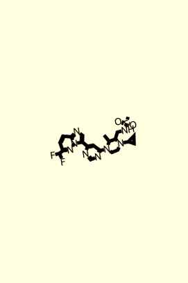 CC1C(CNS(C)(=O)=O)N(C2CC2)CCN1c1cc(-c2cnc3ccc(C(F)F)nn23)ncn1